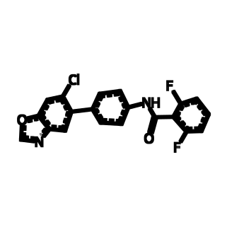 O=C(Nc1ccc(-c2cc3ncoc3cc2Cl)cc1)c1c(F)cccc1F